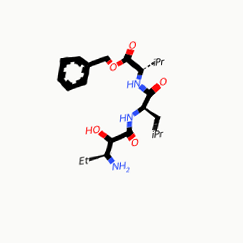 CC[C@H](N)C(O)C(=O)N[C@H](CC(C)C)C(=O)N[C@H](C(=O)OCc1ccccc1)C(C)C